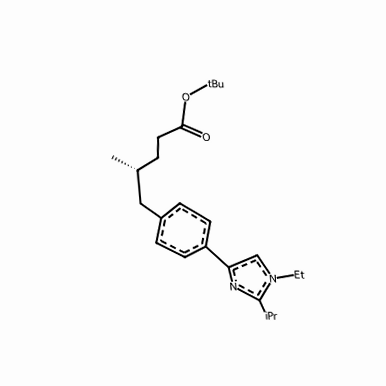 CCn1cc(-c2ccc(C[C@H](C)CCC(=O)OC(C)(C)C)cc2)nc1C(C)C